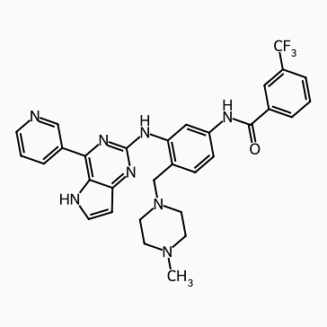 CN1CCN(Cc2ccc(NC(=O)c3cccc(C(F)(F)F)c3)cc2Nc2nc(-c3cccnc3)c3[nH]ccc3n2)CC1